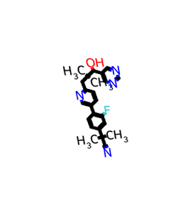 CC(C)(C#N)c1ccc(-c2ccc(CC(C)(C)C(O)c3cncnc3)nc2)c(F)c1